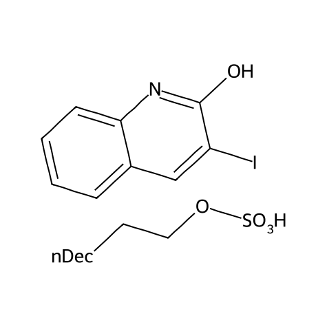 CCCCCCCCCCCCOS(=O)(=O)O.Oc1nc2ccccc2cc1I